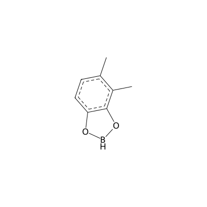 Cc1ccc2c(c1C)OBO2